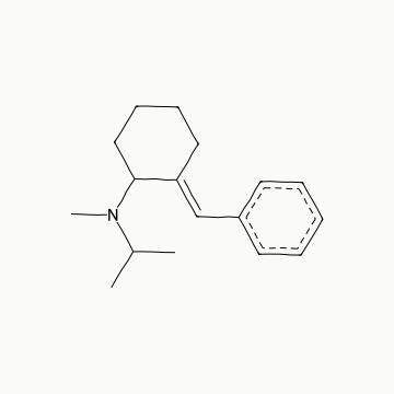 CC(C)N(C)C1CCCCC1=Cc1ccccc1